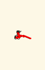 CCCCCCCCCCCCC[C@H]1CC[C@H](CCC2CCC(c3ccc(Oc4ccc([N+](=O)[O-])cc4)cc3)(c3ccc(Oc4ccc([N+](=O)[O-])cc4)cc3)CC2)CC1